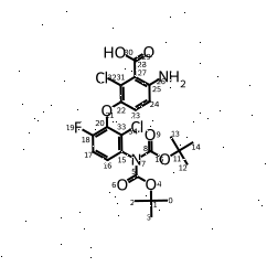 CC(C)(C)OC(=O)N(C(=O)OC(C)(C)C)c1ccc(F)c(Oc2ccc(N)c(C(=O)O)c2Cl)c1Cl